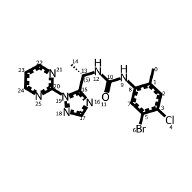 Cc1cc(Cl)c(Br)cc1NC(=O)N[C@@H](C)c1ncnn1-c1ncccn1